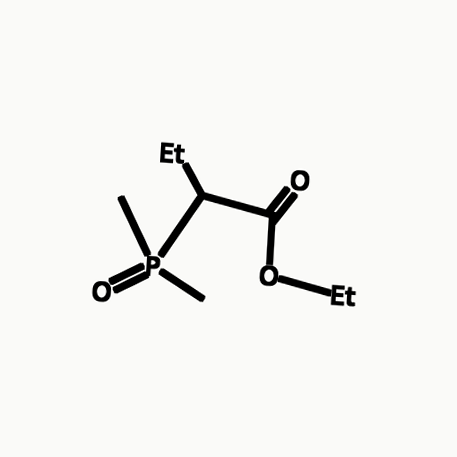 CCOC(=O)C(CC)P(C)(C)=O